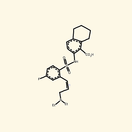 CCN(CC)C/C=C\c1cc(F)ccc1S(=O)(=O)Nc1ccc2c(c1C(=O)O)CCCC2